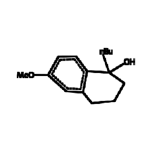 CCCCC1(O)CCCc2cc(OC)ccc21